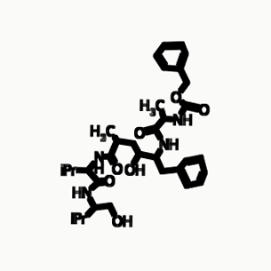 CC(CC(O)C(Cc1ccccc1)NC(=O)C(C)NC(=O)OCc1ccccc1)C(=O)NC(C(=O)NC(CO)C(C)C)C(C)C